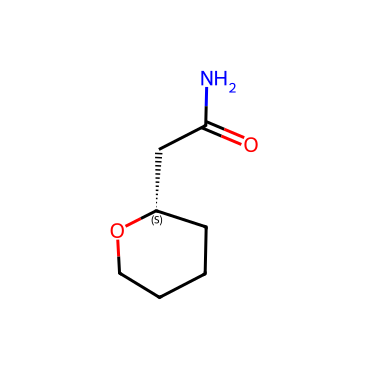 NC(=O)C[C@@H]1CCCCO1